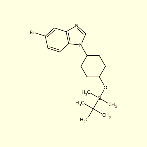 CC(C)(C)[Si](C)(C)OC1CCC(n2cnc3cc(Br)ccc32)CC1